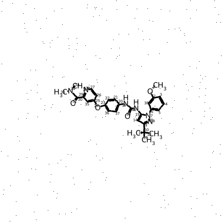 COc1cccc(-n2nc(C(C)(C)C)cc2NC(=O)Nc2ccc(Oc3ccnc(C(=O)N(C)C)c3)cc2)c1